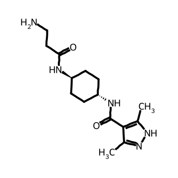 Cc1n[nH]c(C)c1C(=O)N[C@H]1CC[C@H](NC(=O)CCN)CC1